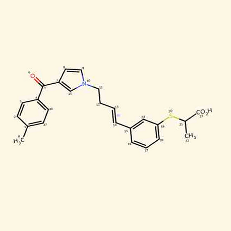 Cc1ccc(C(=O)c2ccn(CC/C=C/c3cccc(SC(C)C(=O)O)c3)c2)cc1